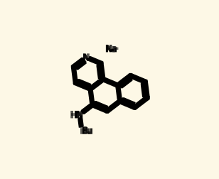 CCC(C)Nc1cc2ccccc2c2cnccc12.[Na]